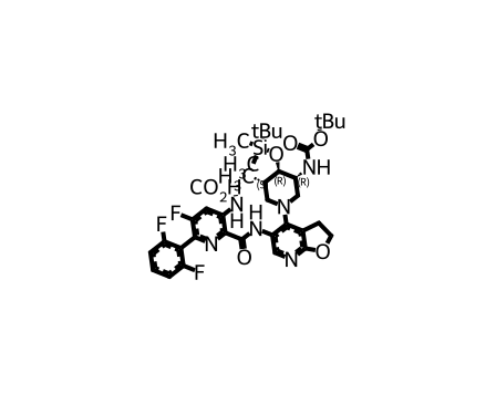 C[C@H]1CN(c2c(NC(=O)c3nc(-c4c(F)cccc4F)c(F)cc3NC(=O)O)cnc3c2CCO3)C[C@@H](NC(=O)OC(C)(C)C)[C@@H]1O[Si](C)(C)C(C)(C)C